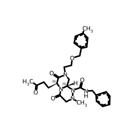 CC(=O)CC[C@H]1C(=O)N(CCOCc2ccc(C)cc2)C[C@H]2N1C(=O)CN(C)N2C(=O)NCc1ccccc1